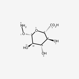 NO[C@@H]1O[C@H](C(=O)O)[C@@H](O)[C@H](O)[C@H]1O